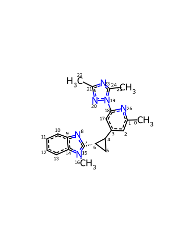 Cc1cc(C2C[C@@H]2c2nc3ccccc3n2C)cc(-n2nc(C)nc2C)n1